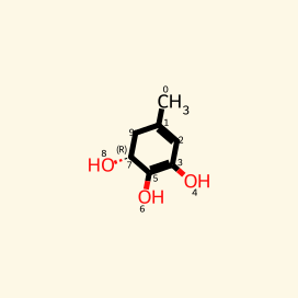 CC1=CC(O)=C(O)[C@H](O)C1